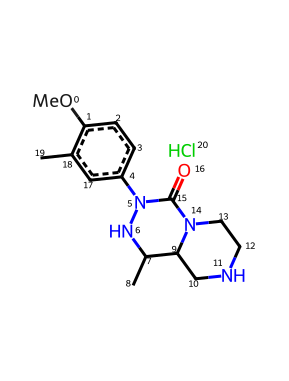 COc1ccc(N2NC(C)C3CNCCN3C2=O)cc1C.Cl